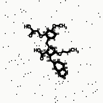 CCCOc1nn(Cc2ccc(OC)cc2OCC(=O)O)c(C(=O)O)c1Cc1ccc2nsnc2c1